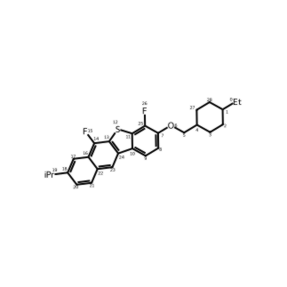 CCC1CCC(COc2ccc3c(sc4c(F)c5cc(C(C)C)ccc5cc43)c2F)CC1